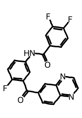 O=C(Nc1ccc(F)c(C(=O)c2ccc3nccnc3c2)c1)c1ccc(F)c(F)c1